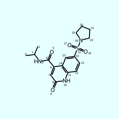 CC(C)NC(=O)c1cc(=O)[nH]c2ccc(S(=O)(=O)N3CCCC3)cc12